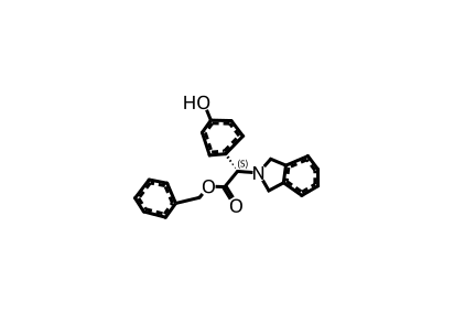 O=C(OCc1ccccc1)[C@H](c1ccc(O)cc1)N1Cc2ccccc2C1